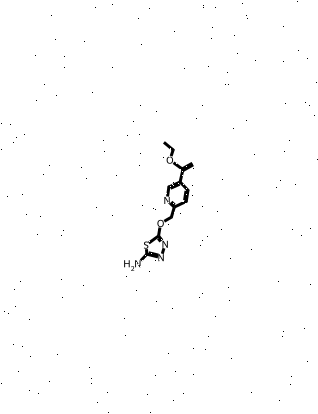 C=C(OCC)c1ccc(COc2nnc(N)s2)nc1